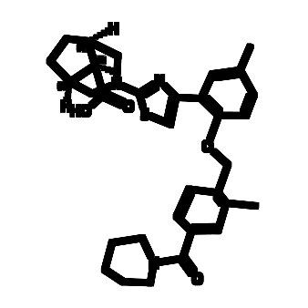 Cc1ccc(OCc2ccc(C(=O)N3CCCCC3)cc2C)c(-c2csc(N3C[C@H]4CC[C@@H](C3)[C@@]4(C)C(=O)O)n2)c1